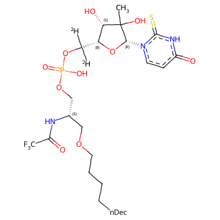 [2H]C([2H])(OP(=O)(O)OC[C@H](COCCCCCCCCCCCCCC)NC(=O)C(F)(F)F)[C@H]1O[C@@H](n2ccc(=O)[nH]c2=S)C(C)(O)[C@H]1O